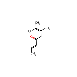 CC=CC(=O)CC(C)=C(C)C